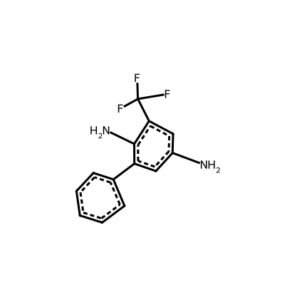 Nc1cc(-c2ccccc2)c(N)c(C(F)(F)F)c1